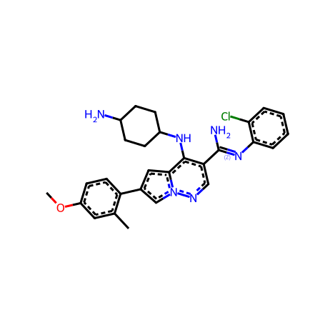 COc1ccc(-c2cc3c(NC4CCC(N)CC4)c(/C(N)=N/c4ccccc4Cl)cnn3c2)c(C)c1